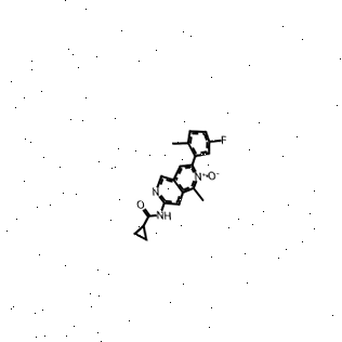 Cc1ccc(F)cc1-c1cc2cnc(NC(=O)C3CC3)cc2c(C)[n+]1[O-]